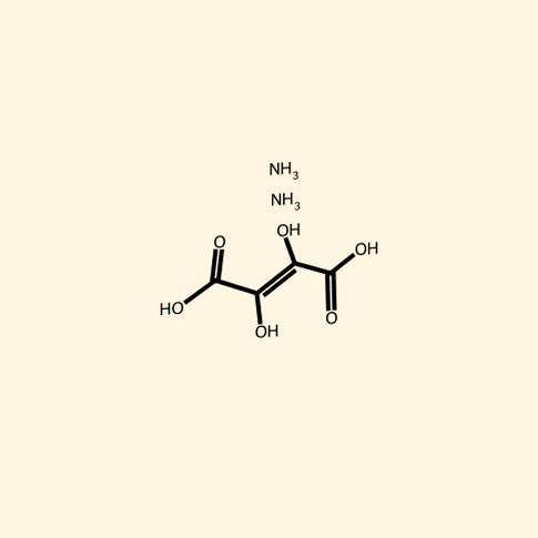 N.N.O=C(O)/C(O)=C(\O)C(=O)O